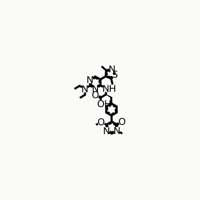 CCN(CC)c1ncc(-c2c(C)nsc2C)c(N[C@@H](Cc2ccc(-c3c(OC)ncn(C)c3=O)cc2)C(=O)O)n1